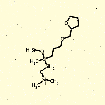 C[SiH](C)O[SiH2][Si](C)(CCCOCC1CCCO1)O[SiH3]